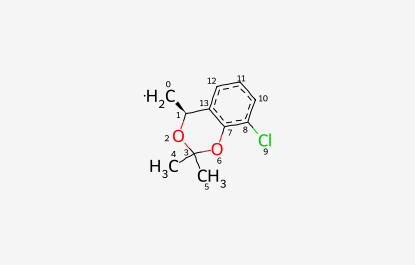 [CH2][C@@H]1OC(C)(C)Oc2c(Cl)cccc21